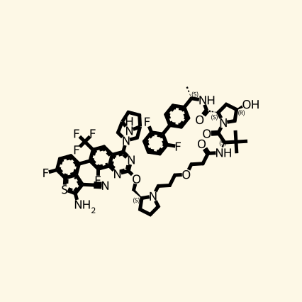 C[C@H](NC(=O)[C@@H]1C[C@@H](O)CN1C(=O)[C@@H](NC(=O)CCOCCCN1CCC[C@H]1COc1nc(N2CC3CCC(C2)N3)c2cc(C(F)(F)F)c(-c3ccc(F)c4sc(N)c(C#N)c34)c(F)c2n1)C(C)(C)C)c1ccc(-c2c(F)cccc2F)cc1